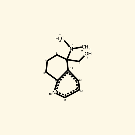 CN(C)C1(CO)CCCc2ncccc21